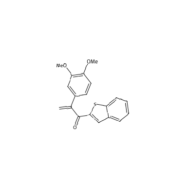 C=C(C(=O)c1cc2ccccc2s1)c1ccc(OC)c(OC)c1